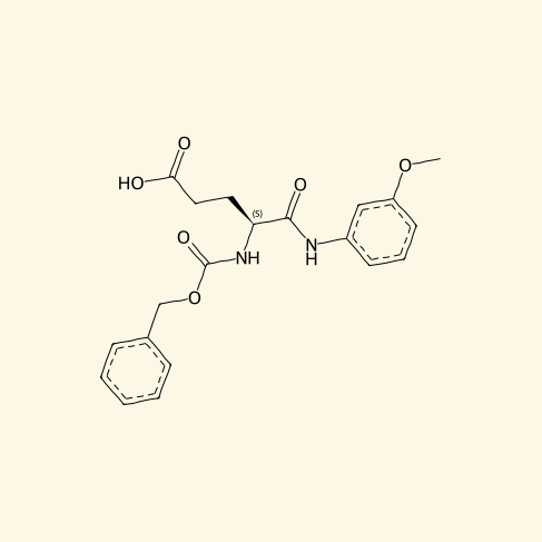 COc1cccc(NC(=O)[C@H](CCC(=O)O)NC(=O)OCc2ccccc2)c1